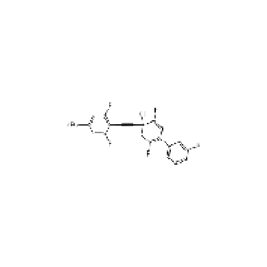 CCCCc1cc(F)c(C#CC2(Cl)CC(F)=C(c3cccc(F)c3)C=C2F)c(F)c1